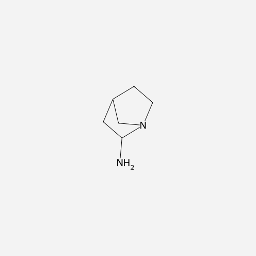 NC1CC2CCN1C2